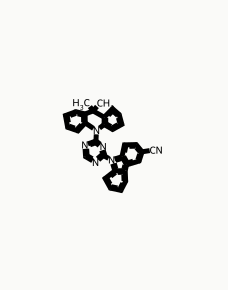 CC1(C)c2ccccc2N(c2ncnc(-n3c4ccccc4c4cc(C#N)ccc43)n2)c2ccccc21